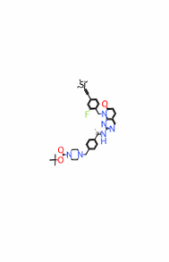 C[C@H](Nc1ncc2ccc(=O)n(Cc3ccc(C#C[Si](C)(C)C)cc3F)c2n1)c1ccc(CN2CCN(C(=O)OC(C)(C)C)CC2)cc1